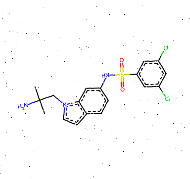 CC(C)(N)Cn1ccc2ccc(NS(=O)(=O)c3cc(Cl)cc(Cl)c3)cc21